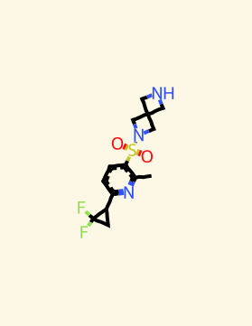 Cc1nc(C2CC2(F)F)ccc1S(=O)(=O)N1CC2(CNC2)C1